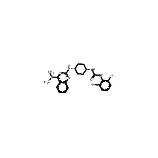 CCc1cccc(CC)c1NC(=O)N[C@H]1CC[C@@H](Nc2nc(N(C)C)c3ccccc3n2)CC1